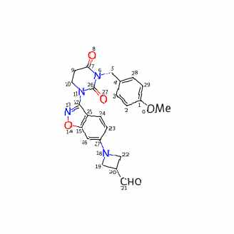 COc1ccc(CN2C(=O)CCN(c3noc4cc(N5CC(C=O)C5)ccc34)C2=O)cc1